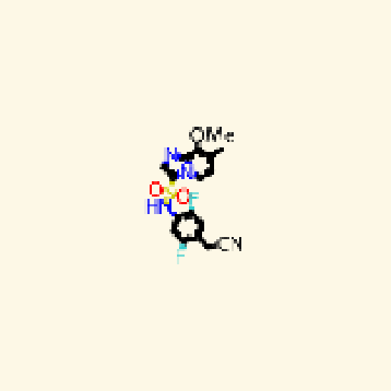 COc1c(C)ccn2c(S(=O)(=O)Nc3cc(F)c(CC#N)cc3F)cnc12